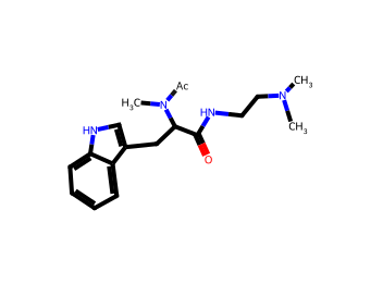 CC(=O)N(C)C(Cc1c[nH]c2ccccc12)C(=O)NCCN(C)C